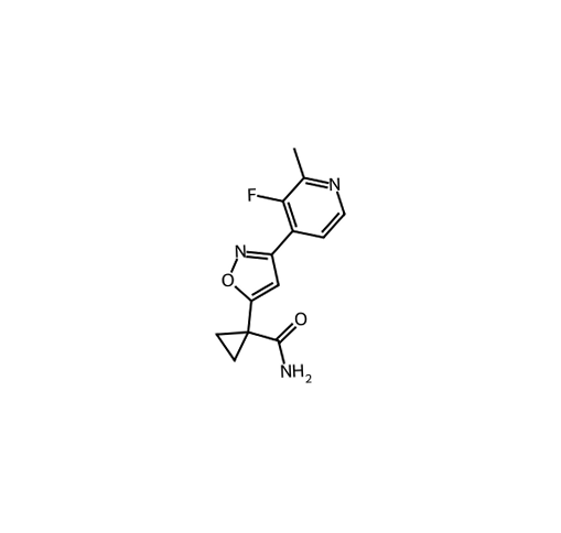 Cc1nccc(-c2cc(C3(C(N)=O)CC3)on2)c1F